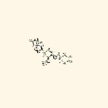 CCOc1cc(C2=NOC3(CCOC3)C2)ccc1OCC1CCCCC1